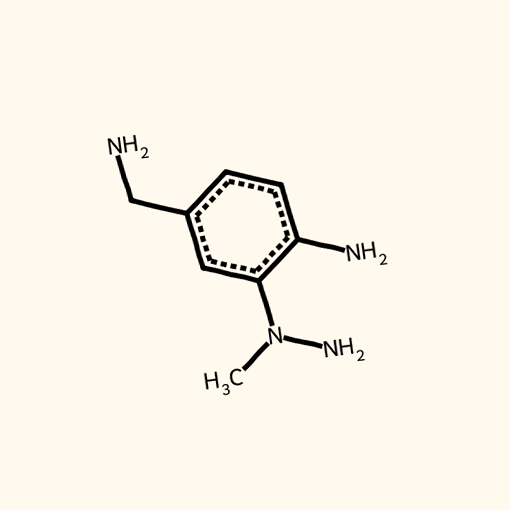 CN(N)c1cc(CN)ccc1N